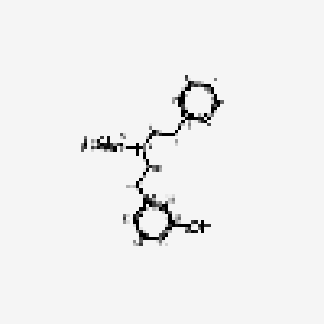 CCCCCN(CCc1ccccc1)CCc1cccc(O)c1.Cl